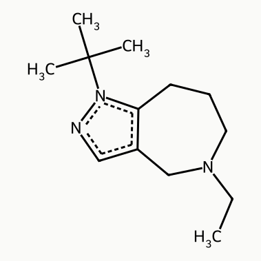 CCN1CCCc2c(cnn2C(C)(C)C)C1